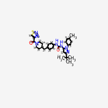 Cc1ccc(-n2nc(C(C)(C)C)cc2NC(=O)Nc2ccc(CC3CCN(C(=O)c4csnn4)CC3)cc2)cc1